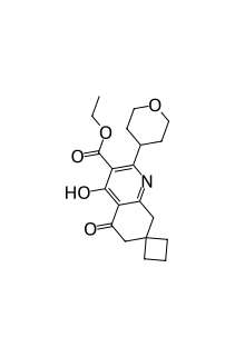 CCOC(=O)c1c(C2CCOCC2)nc2c(c1O)C(=O)CC1(CCC1)C2